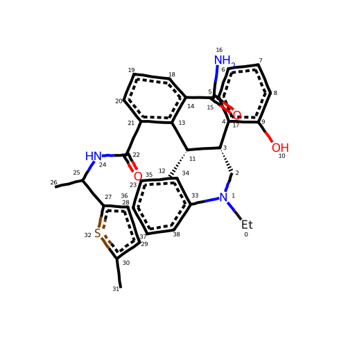 CCN(C[C@@H](c1ccccc1O)[C@H](C)c1c(C(N)=O)cccc1C(=O)NC(C)c1ccc(C)s1)c1ccccc1